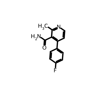 Cc1nccc(-c2ccc(F)cc2)c1C(N)=O